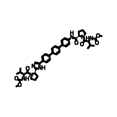 COC(=O)NC(C(=O)N1CCC[C@H]1c1ncc(-c2ccc(-c3ccc(-c4ccc(NC(=O)[C@@H]5CCCN5C(=O)[C@@H](NC(=O)OC)C(C)C)cc4)cc3)cc2)[nH]1)C(C)C